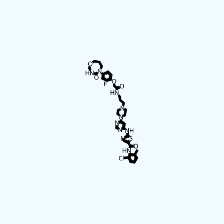 Cc1cccc(Cl)c1NC(=O)c1cnc(Nc2cc(N3CCN(CCCNC(=O)COc4ccc(N5CCCOCNC5=O)cc4F)CC3)ncn2)s1